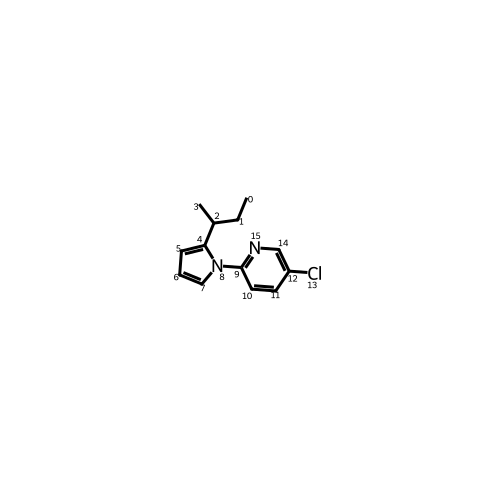 CCC(C)c1cccn1-c1ccc(Cl)cn1